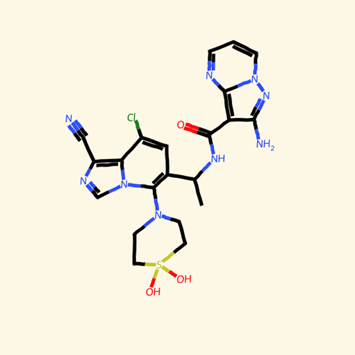 CC(NC(=O)c1c(N)nn2cccnc12)c1cc(Cl)c2c(C#N)ncn2c1N1CCS(O)(O)CC1